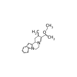 C=C1CC2c3cc4ccccc4n3CCN2C=C1C(=C)OCC